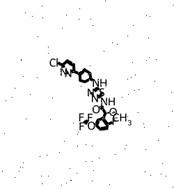 CO[C@H](C(=O)Nc1nnc(NC2CC=C(c3ccc(Cl)nn3)CC2)s1)c1cc(OC(F)(F)F)ccc1F